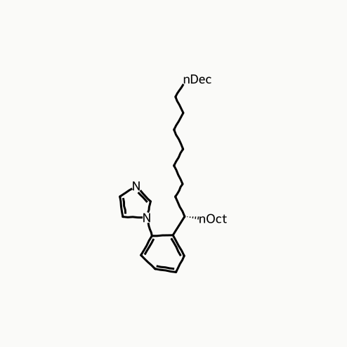 CCCCCCCCCCCCCCCCC[C@H](CCCCCCCC)c1ccccc1-n1ccnc1